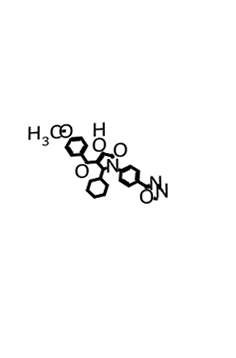 COc1ccc(C(=O)C2=C(O)C(=O)N(c3ccc(-c4nnco4)cc3)C2C2CCCCC2)cc1